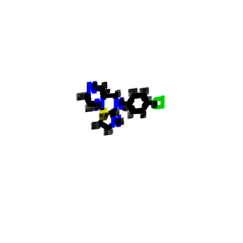 Clc1ccc(N(Cc2cnccn2)C2=NCCS2)cc1